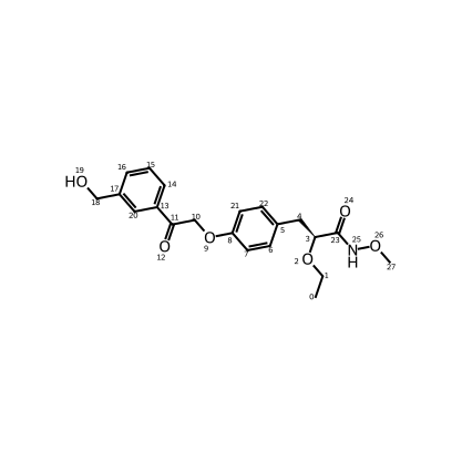 CCO[C@@H](Cc1ccc(OCC(=O)c2cccc(CO)c2)cc1)C(=O)NOC